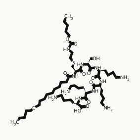 CCCCCCCCCCCCCCCC(=O)N[C@@H](CSCCNC(=O)OCCCCC)C(=O)N[C@H](CO)C(=O)N[C@@H](CCCCN)C(=O)N[C@@H](CCCCN)C(=O)N[C@@H](CCCCN)C(=O)N[C@@H](CCCCN)C(=O)O